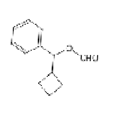 O=COC(c1ccccc1)C1CCC1